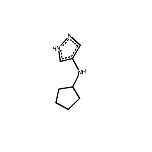 c1n[nH]cc1NC1CCCC1